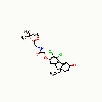 CCC12CCC(=O)C=C1c1c(cc(OCC(=O)NCC(=O)OC(C)(C)C)c(Cl)c1Cl)C2